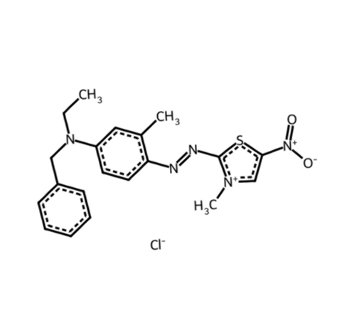 CCN(Cc1ccccc1)c1ccc(/N=N/c2sc([N+](=O)[O-])c[n+]2C)c(C)c1.[Cl-]